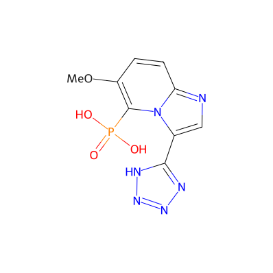 COc1ccc2ncc(-c3nnn[nH]3)n2c1P(=O)(O)O